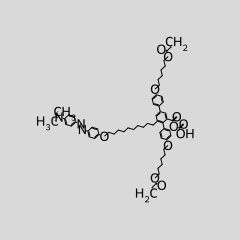 C=CC(=O)OCCCCCCOc1ccc(-c2cc(CCCCCCCCCCOc3ccc(N=Nc4ccc(N(C)C)cc4)cc3)c(-c3ccc(OCCCCCCOC(=O)C=C)cc3)c(C(=O)OC(=O)O)c2)cc1